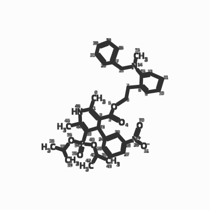 CC1=C(C(=O)OCCc2ccccc2N(C)Cc2ccccc2)C(c2cccc([N+](=O)[O-])c2)C(P(=O)(OC(C)C)OC(C)C)=C(C)N1